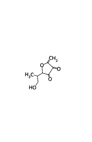 C=C1OC(C(C)CO)C(=O)C1=O